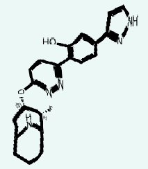 Oc1cc(-c2cc[nH]n2)ccc1-c1ccc(O[C@H]2CC3CCCC(N3)[C@H]2F)nn1